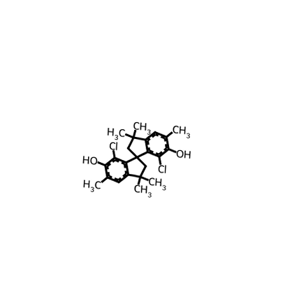 Cc1cc2c(c(Cl)c1O)C1(CC2(C)C)CC(C)(C)c2cc(C)c(O)c(Cl)c21